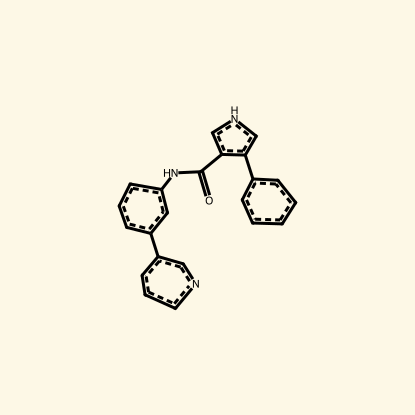 O=C(Nc1cccc(-c2cccnc2)c1)c1c[nH]cc1-c1ccccc1